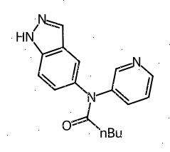 CCCCC(=O)N(c1cccnc1)c1ccc2[nH]ncc2c1